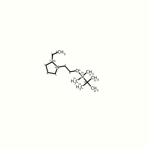 CC[C@@H]1CCCN1CCO[Si](C)(C)C(C)(C)C